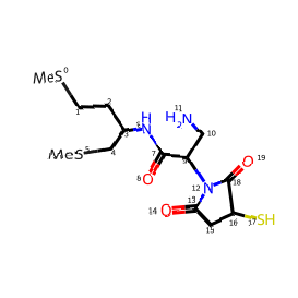 CSCCC(CSC)NC(=O)C(CN)N1C(=O)CC(S)C1=O